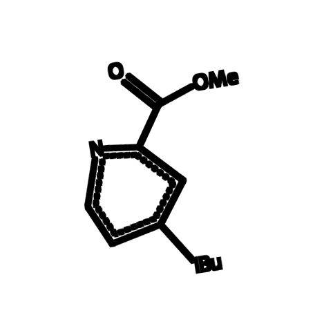 CCC(C)c1ccnc(C(=O)OC)c1